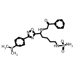 CN(C)c1ccc(-c2noc(C(CCCCNS(N)(=O)=O)NCC(=O)c3ccccc3)n2)cc1